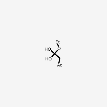 CCOC(O)(O)CC(C)=O